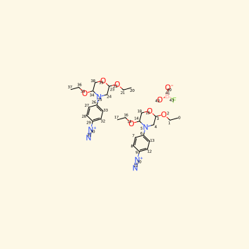 CCOC1CN(c2ccc([N+]#N)cc2)C(OCC)CO1.CCOC1CN(c2ccc([N+]#N)cc2)C(OCC)CO1.[O-]B([O-])F